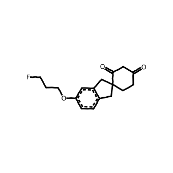 O=C1CCC2(Cc3ccc(OCCCF)cc3C2)C(=O)C1